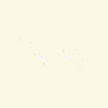 N#Cc1ccc(-c2ccc(-n3c4ccccc4c4cc(-c5ccc6c(c5)c5ccccc5n6-c5cccc6c5-c5ccccc5C6(c5ccccc5)c5ccccc5)ccc43)cc2)cc1